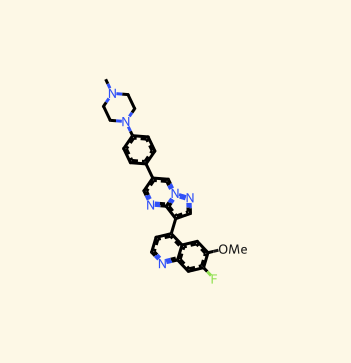 COc1cc2c(-c3cnn4cc(-c5ccc(N6CCN(C)CC6)cc5)cnc34)ccnc2cc1F